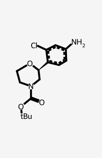 CC(C)(C)OC(=O)N1CCO[C@@H](c2ccc(N)cc2Cl)C1